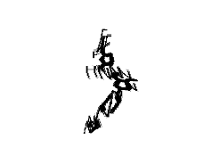 Cc1nnc(N[C@H](C)c2cccc(C(F)(F)F)c2)c2cc(N3CCN(c4ccn(C)n4)CC3)cnc12